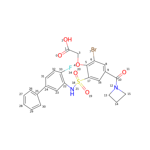 O=C(O)COc1c(Br)cc(C(=O)N2CCC2)cc1S(=O)(=O)Nc1cc(-c2ccccc2)ccc1F